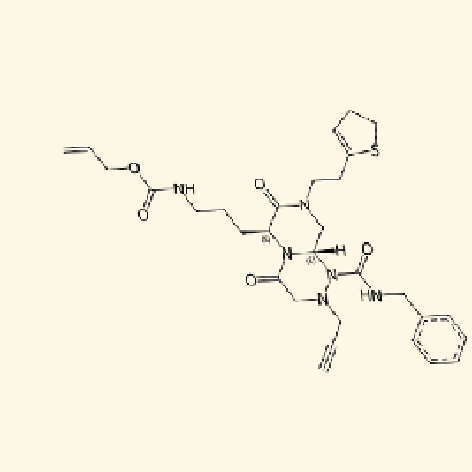 C#CCN1CC(=O)N2[C@@H](CCCNC(=O)OCC=C)C(=O)N(CCC3=CCCS3)C[C@@H]2N1C(=O)NCc1ccccc1